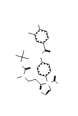 CN(CCC1=NC=C[N+]1(C(=O)[O-])c1ccc(OC(=O)c2ccc(Cl)c(Cl)c2)cc1)C(=O)OC(C)(C)C